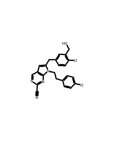 N#Cc1ncc2cc(Cc3ccc(Cl)c(CO)c3)n(CCc3ccc(Cl)cc3)c2n1